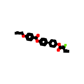 CCCCCOc1ccc(C(=O)Oc2ccc([C@H]3CC[C@H](OC(=O)[C@@H](F)CCCC)CC3)cc2)cc1